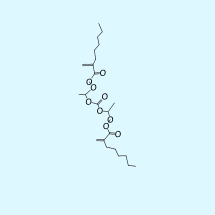 C=C(CCCCCC)C(=O)OOC(C)OC(=O)OC(C)OOC(=O)C(=C)CCCCCC